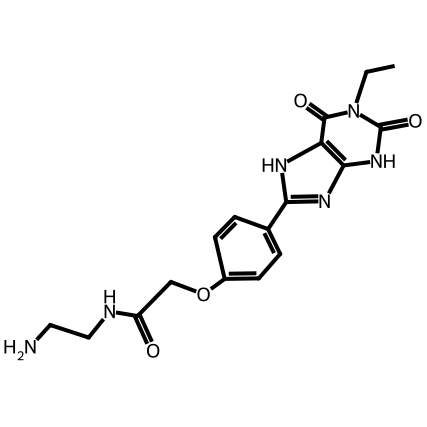 CCn1c(=O)[nH]c2nc(-c3ccc(OCC(=O)NCCN)cc3)[nH]c2c1=O